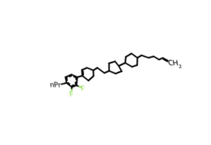 C=CCCCCC1CCC(C2CCC(CCC3CC=C(c4ccc(CCC)c(F)c4F)CC3)CC2)CC1